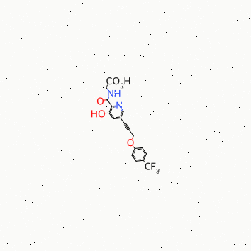 O=C(O)CNC(=O)c1ncc(C#CCOc2ccc(C(F)(F)F)cc2)cc1O